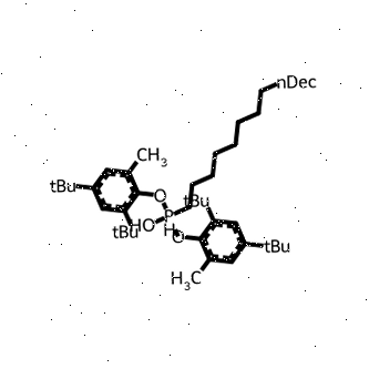 CCCCCCCCCCCCCCCCCC[PH](O)(Oc1c(C)cc(C(C)(C)C)cc1C(C)(C)C)Oc1c(C)cc(C(C)(C)C)cc1C(C)(C)C